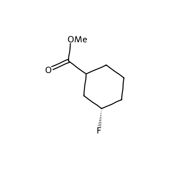 COC(=O)C1CCC[C@H](F)C1